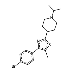 Cc1sc(C2CCN(C(C)C)CC2)nc1-c1ccc(Br)cc1